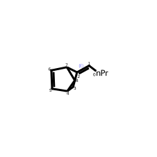 CCC/C=C1\CC2C=CC1C2